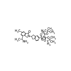 Cc1cc2c(c(C(C)N)c1)CN(C1Cc3ccc(S(=O)(=O)N(C(=O)OC(C)(C)C)C(=O)OC(C)(C)C)cc3C1)C2=O